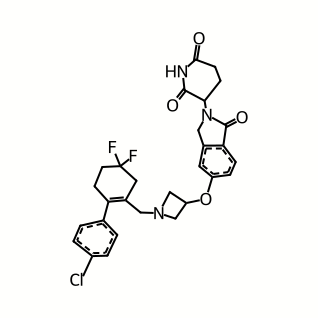 O=C1CCC(N2Cc3cc(OC4CN(CC5=C(c6ccc(Cl)cc6)CCC(F)(F)C5)C4)ccc3C2=O)C(=O)N1